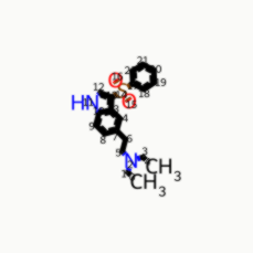 CCN(CC)CCc1ccc2[nH]cc(S(=O)(=O)c3ccccc3)c2c1